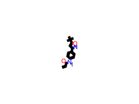 C=CC(=O)N(I)c1ccc(-c2cc(C(C)(C)C)on2)cc1